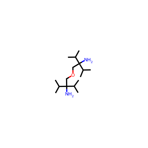 CC(C)C(N)(COCC(N)(C(C)C)C(C)C)C(C)C